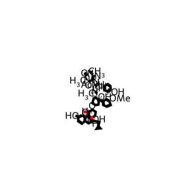 CC(=O)Nc1ccc(O)cc1.COc1cccc([C@@]2(O)CCCC[C@@H]2CN(C)C)c1.Cn1c(=O)c2c(ncn2C)n(C)c1=O.O=C1CC[C@@]2(O)[C@H]3Cc4ccc(O)c5c4[C@@]2(CCN3CC2CC2)[C@H]1O5